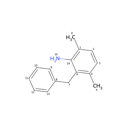 Cc1ccc(C)c(Cc2ccccc2)c1N